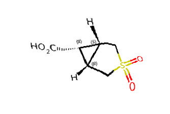 O=C(O)[C@@H]1[C@@H]2CS(=O)(=O)C[C@@H]21